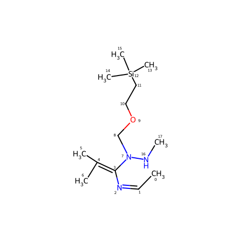 C/C=N\C(=C(C)C)N(COCC[Si](C)(C)C)NC